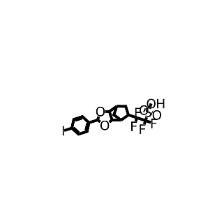 O=S(=O)(O)C(F)(F)C(F)(F)C1CC2CC1C1OC(c3ccc(I)cc3)OC21